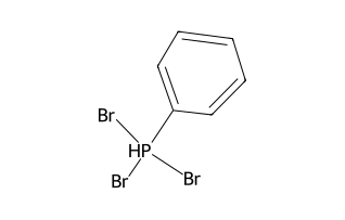 Br[PH](Br)(Br)c1ccccc1